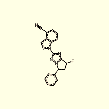 N#Cc1cccc2c1cnn2-c1nc2n(n1)[C@H](c1ccccc1)C[C@@H]2F